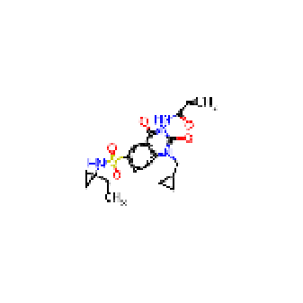 C=CC(=O)Nn1c(=O)c2cc(S(=O)(=O)NC3(CC)CC3)ccc2n(CC2CC2)c1=O